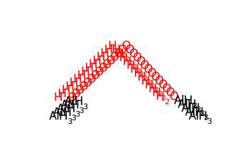 O.O.O.O.O.O.O.O.O.O.O.O.O.O.O.O.O.O.O.O.O.O.O.O.O.O.O.O.[AlH3].[AlH3].[AlH3].[AlH3].[AlH3].[AlH3].[AlH3].[AlH3].[AlH3].[AlH3]